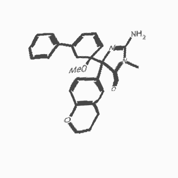 COC1(C2(c3ccc4c(c3)CCCO4)N=C(N)N(C)C2=O)C=CC=C(c2ccccc2)C1